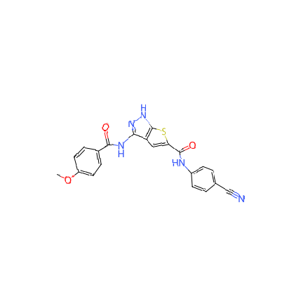 COc1ccc(C(=O)Nc2n[nH]c3sc(C(=O)Nc4ccc(C#N)cc4)cc23)cc1